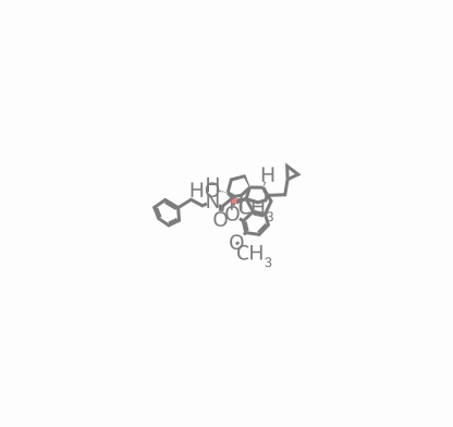 COc1ccc2c3c1O[C@@]1(C)C34CCC(CC3CC3)[C@H](C2)[C@]42CC[C@@]1(O)[C@@H](C(=O)NCCc1ccccc1)C2